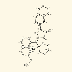 COc1ccc2ncnc(C(C3CN(c4ccc5c(c4)OCCO5)C(=O)O3)C3(O)CCNCC3)c2c1